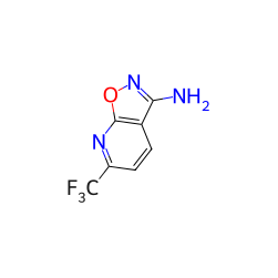 Nc1noc2nc(C(F)(F)F)ccc12